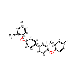 Cc1ccc(Oc2ccc(-c3ccc(Oc4ccc(C)cc4C(F)(F)F)cc3)cc2)c(C(F)(F)F)c1